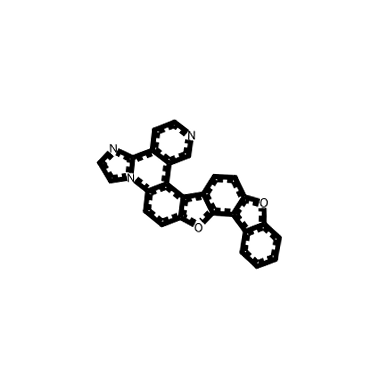 c1ccc2c(c1)oc1ccc3c(oc4ccc5c(c6cnccc6c6nccn56)c43)c12